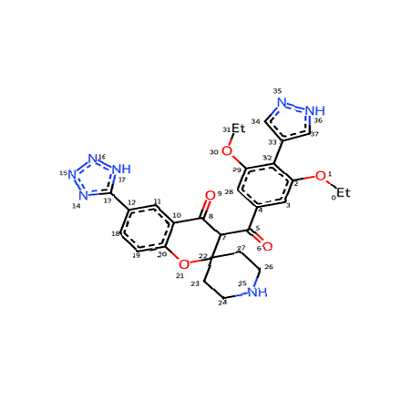 CCOc1cc(C(=O)C2C(=O)c3cc(-c4nnn[nH]4)ccc3OC23CCNCC3)cc(OCC)c1-c1cn[nH]c1